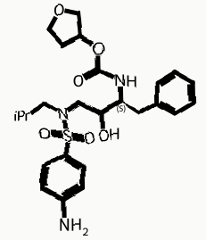 CC(C)CN(CC(O)[C@H](Cc1ccccc1)NC(=O)OC1CCOC1)S(=O)(=O)c1ccc(N)cc1